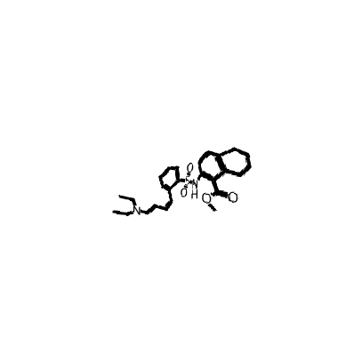 CCN(CC)CC/C=C\c1ccccc1S(=O)(=O)Nc1ccc2c(c1C(=O)OC)CCCC2